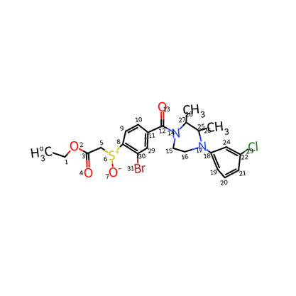 CCOC(=O)C[S+]([O-])c1ccc(C(=O)N2CCN(c3cccc(Cl)c3)C(C)C2C)cc1Br